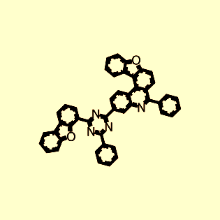 c1ccc(-c2nc(-c3ccc4c(c3)nc(-c3ccccc3)c3ccc5oc6ccccc6c5c34)nc(-c3cccc4c3oc3ccccc34)n2)cc1